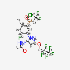 CC(=O)Nc1cc(OCC(F)(F)C(F)(F)F)nn1-c1cc([S+]([O-])CC(F)(F)Cl)c(C)cc1F